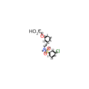 CN(CCc1cccc(OCC(=O)O)c1)S(=O)(=O)c1cccc(Cl)c1